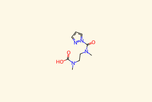 CN(CCN(C)C(=O)n1cccn1)C(=O)O